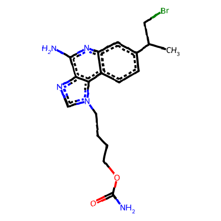 CC(CBr)c1ccc2c(c1)nc(N)c1ncn(CCCCOC(N)=O)c12